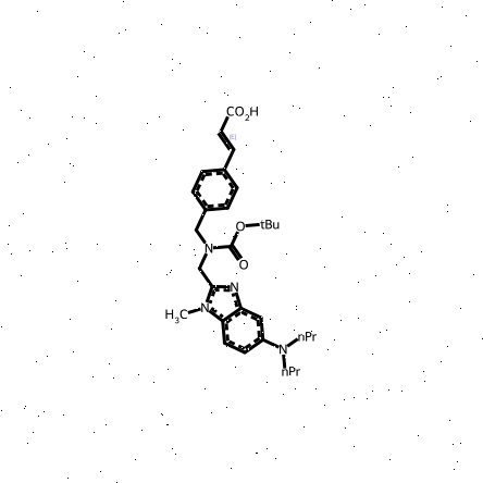 CCCN(CCC)c1ccc2c(c1)nc(CN(Cc1ccc(/C=C/C(=O)O)cc1)C(=O)OC(C)(C)C)n2C